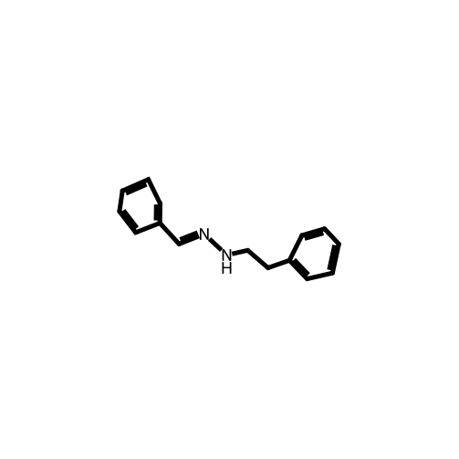 C(=NNCCc1ccccc1)c1ccccc1